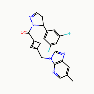 Cc1cnc2c(c1)ncn2CC12CC(C(=O)N3N=CCC3c3cc(F)cc(F)c3)(C1)C2